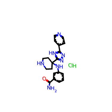 Cl.NC(=O)c1cccc(NC2(c3nnc(-c4ccncc4)[nH]3)CCNCC2)c1